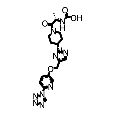 C[C@H](NC(=O)O)C(=O)N1CCC(n2ncc(COc3ccc(-n4cnnn4)nc3)n2)CC1